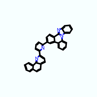 c1cc(-c2ccc3c(c2)c2ccccc2n2c4ccccc4nc32)nc(-c2ccc3ccc4ccccc4c3n2)c1